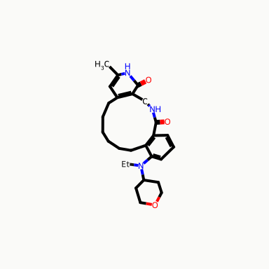 CCN(c1cccc2c1CCCCCCc1cc(C)[nH]c(=O)c1CNC2=O)C1CCOCC1